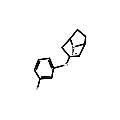 CN1C2CCC1CC(Oc1cccc(F)c1)C2